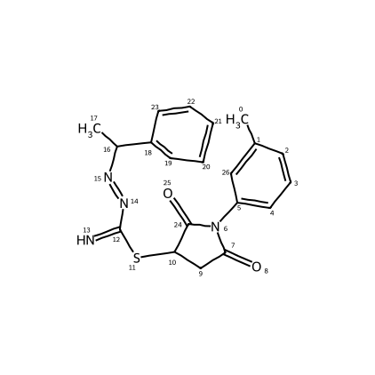 Cc1cccc(N2C(=O)CC(SC(=N)/N=N/C(C)c3ccccc3)C2=O)c1